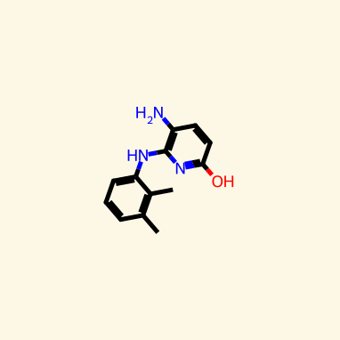 Cc1cccc(Nc2nc(O)ccc2N)c1C